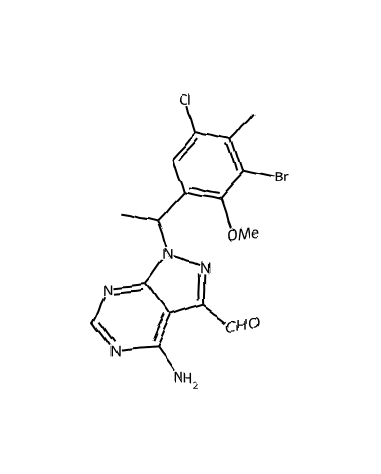 COc1c(C(C)n2nc(C=O)c3c(N)ncnc32)cc(Cl)c(C)c1Br